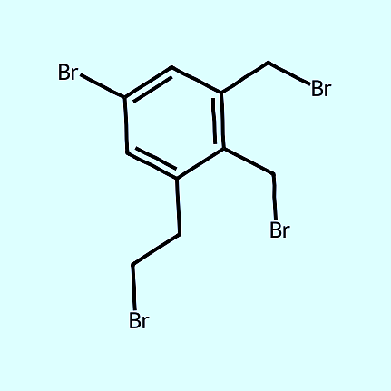 BrCCc1cc(Br)cc(CBr)c1CBr